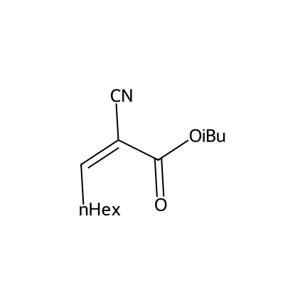 CCCCCCC=C(C#N)C(=O)OCC(C)C